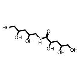 O=C(NCC(O)CC(O)CO)C(O)CC(O)CO